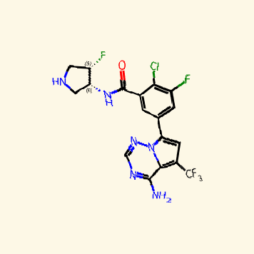 Nc1ncnn2c(-c3cc(F)c(Cl)c(C(=O)N[C@@H]4CNC[C@@H]4F)c3)cc(C(F)(F)F)c12